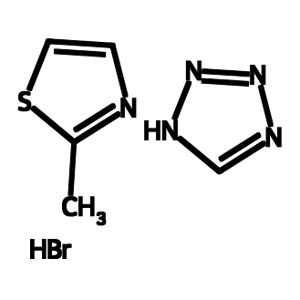 Br.Cc1nccs1.c1nnn[nH]1